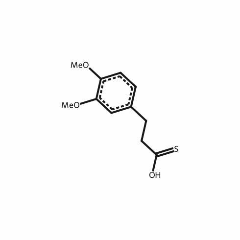 COc1ccc(CCC(O)=S)cc1OC